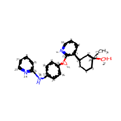 C[C@@]1(O)CCCC(c2cccnc2Oc2ccc(Nc3ccccn3)cc2)C1